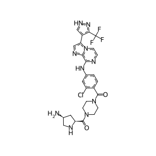 N[C@@H]1CN[C@H](C(=O)N2CCN(C(=O)c3ccc(Nc4nccn5c(-c6c[nH]nc6C(F)(F)F)cnc45)cc3Cl)CC2)C1